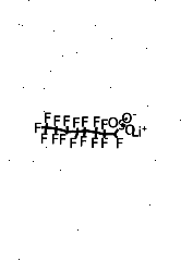 O=S(=O)([O-])C(F)C(F)(F)C(F)(F)C(F)(F)C(F)(F)C(F)(F)C(F)(F)C(F)(F)F.[Li+]